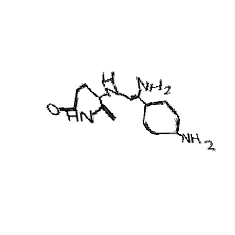 C=C1NC(=O)CCC1N/C=C(\N)c1ccc(N)cc1